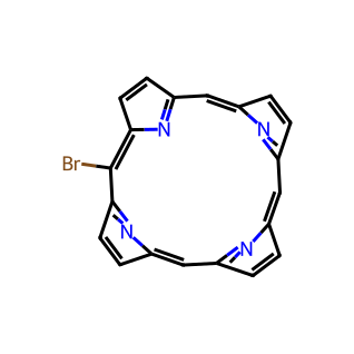 BrC1=C2C=CC(=N2)C=C2C=CC(=N2)C=C2C=CC(=N2)C=C2C=CC1=N2